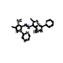 [C-]#[N+]c1c(C)nn(-c2cnccn2)c1/N=N/c1c(C)nn2c(-c3ccccc3)n[nH]c12